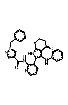 O=C(Nc1ncccc1-c1[nH]c2c(c1Nc1ccccc1)C(=O)CCC2)c1cnn(Cc2ccccc2)c1